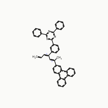 C=C/C=C(\C=C(/C)c1ccc2c3ccccc3c3ccccc3c2c1)c1cccc(-c2nc(-c3ccccc3)nc(-c3ccccc3)n2)c1